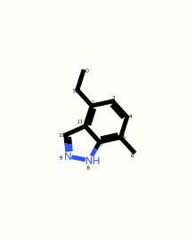 CCc1ccc(C)c2[nH]ncc12